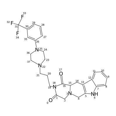 O=C1CN2Cc3[nH]c4ccccc4c3CC2C(=O)N1CCCN1CCN(c2cccc(C(F)(F)F)c2)CC1